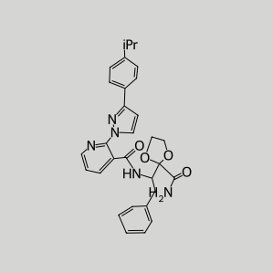 CC(C)c1ccc(-c2ccn(-c3ncccc3C(=O)NC(Cc3ccccc3)C3(C(N)=O)OCCO3)n2)cc1